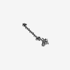 CC(=O)N1c2ccc(-c3cnc(C(=O)NCCOCCOCCOCCOCCOCCC(=O)OC(C)(C)C)nc3)cc2N(Cc2ccccc2CO)C[C@@H]1C1CC1